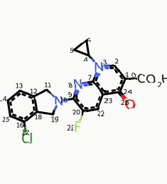 O=C(O)c1cn(C2CC2)c2nc(N3Cc4cccc(Cl)c4C3)c(F)cc2c1=O